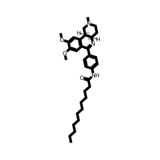 CCCCCCCCCCCC(=O)Nc1ccc(C2=N[C@@H]3CCN(C)C[C@@H]3c3cc(OC)c(OC)cc32)cc1